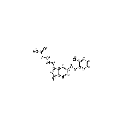 O=C(O)CON=Cc1c[nH]c2ccc(OCc3ccccc3Cl)cc12